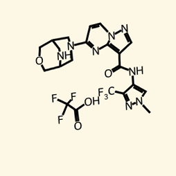 Cn1cc(NC(=O)c2cnn3ccc(N4CC5CNC(COC5)C4)nc23)c(C(F)(F)F)n1.O=C(O)C(F)(F)F